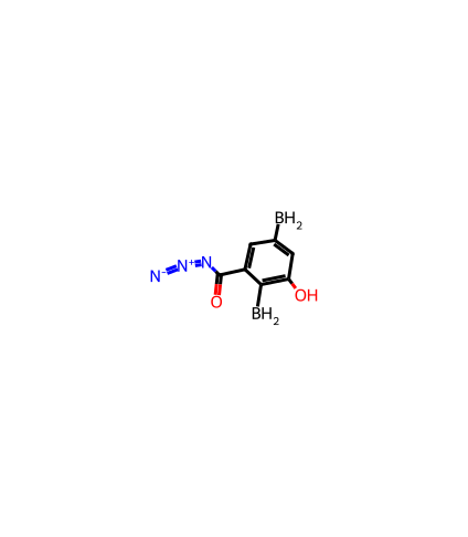 Bc1cc(O)c(B)c(C(=O)N=[N+]=[N-])c1